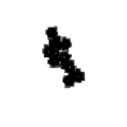 C1=CCC(C2N=C(c3ccccc3)N=C(c3cccc4c3oc3c(-c5cccc6c5sc5cc(-n7c8ccccc8c8ccccc87)ccc56)cccc34)N2)C=C1